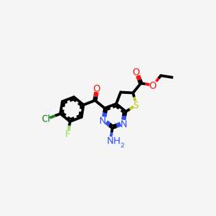 CCOC(=O)C1Cc2c(nc(N)nc2C(=O)c2ccc(Cl)c(F)c2)S1